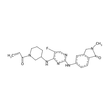 C=CC(=O)N1CCCC(Nc2nc(Nc3ccc4c(c3)CN(C)C4=O)ncc2F)C1